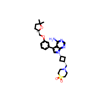 CC1(C)CC[C@H](COc2cccc(-c3cn([C@H]4C[C@@H](CN5CCS(=O)(=O)CC5)C4)c4ncnc(N)c34)c2)O1